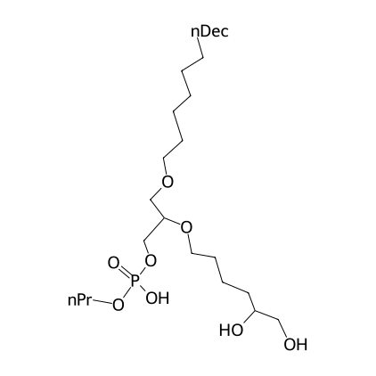 CCCCCCCCCCCCCCCCOCC(COP(=O)(O)OCCC)OCCCCC(O)CO